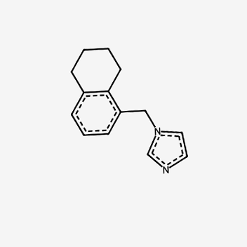 c1cc2c(c(Cn3ccnc3)c1)CCCC2